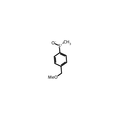 COCc1ccc([S@@+](C)[O-])cc1